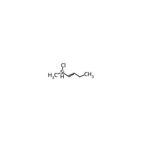 CCC=C[SiH](C)Cl